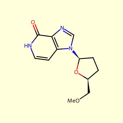 COC[C@@H]1CC[C@H](n2cnc3c(=O)[nH]ccc32)O1